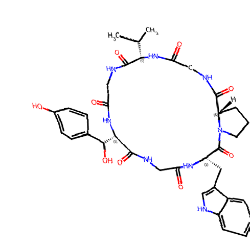 CC(C)[C@@H]1NC(=O)CNC(=O)[C@@H]2CCCN2C(=O)[C@H](Cc2c[nH]c3ccccc23)NC(=O)CNC(=O)[C@H](C(O)c2ccc(O)cc2)NC(=O)CNC1=O